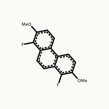 COc1ccc2c(ccc3c(F)c(OC)ccc32)c1F